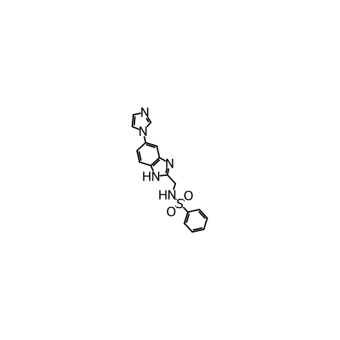 O=S(=O)(NCc1nc2cc(-n3ccnc3)ccc2[nH]1)c1ccccc1